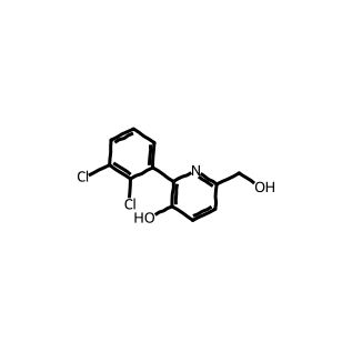 OCc1ccc(O)c(-c2cccc(Cl)c2Cl)n1